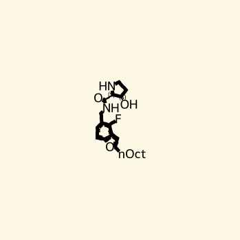 CCCCCCCCc1cc2c(F)c(CNC(=O)[C@H]3NCC[C@@H]3O)ccc2o1